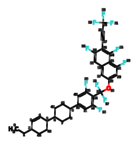 CCC1C=CC(C2CCC(c3cc(F)c(C(F)(F)Oc4cc(F)c5c(F)c(C#CC(F)(F)F)c(F)cc5c4)c(F)c3)CC2)CC1